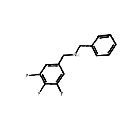 Fc1cc(CN[CH]c2ccccc2)cc(F)c1F